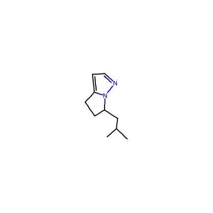 CC(C)CC1CCc2ccnn21